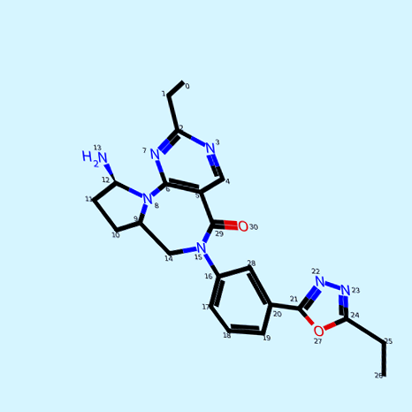 CCc1ncc2c(n1)N1C(CC[C@H]1N)CN(c1cccc(-c3nnc(CC)o3)c1)C2=O